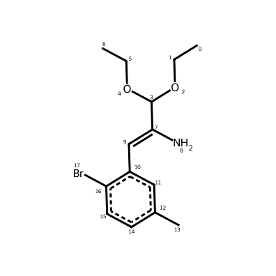 CCOC(OCC)C(N)=Cc1cc(C)ccc1Br